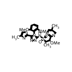 COc1cccc(OC)c1-n1c(NS(=O)(=O)[C@@H](C)[C@H](OC)c2ncc(C)cn2)nnc1-c1nc(C)cs1